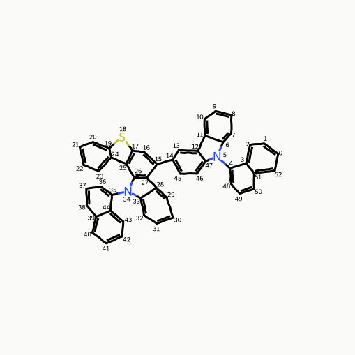 c1ccc2c(-n3c4ccccc4c4cc(-c5cc6sc7ccccc7c6c6c5c5ccccc5n6-c5cccc6ccccc56)ccc43)cccc2c1